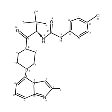 Cc1cn2c(N3CCN(C(=O)[C@H](NC(=O)Nc4ccc(Cl)cc4)C(C)(C)C)CC3)cccc2n1